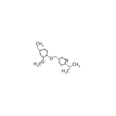 CCc1ccc(OCc2ccc(C(C)C)nc2)c(OC)c1